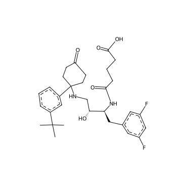 CC(C)(C)c1cccc(C2(NC[C@@H](O)[C@H](Cc3cc(F)cc(F)c3)NC(=O)CCCC(=O)O)CCC(=O)CC2)c1